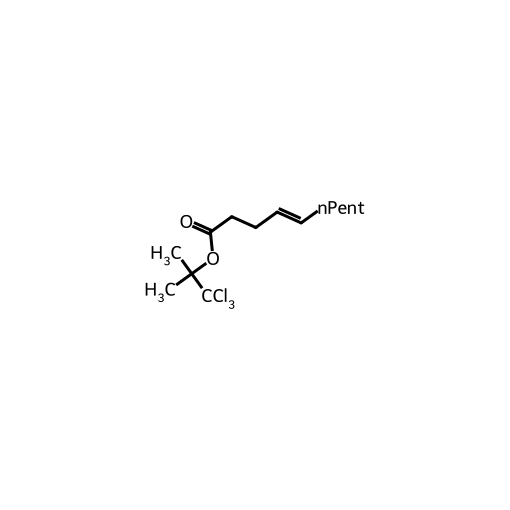 CCCCCC=CCCC(=O)OC(C)(C)C(Cl)(Cl)Cl